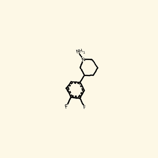 NN1CCCC(c2ccc(F)c(F)c2)C1